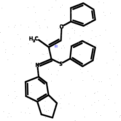 C/C(=C\Oc1ccccc1)C(=Nc1ccc2c(c1)CCC2)Sc1ccccc1